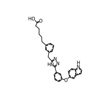 O=C(O)CCCCCc1cccc(Cc2nnc(-c3cccc(Oc4ccc5[nH]ccc5c4)c3)[nH]2)c1